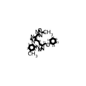 Cc1ccc2c(c1)-n1nnc(COc3ccccc3)c1Cc1c(-c3noc(C)n3)ncn1-2